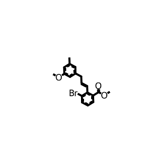 COC(=O)c1cccc(Br)c1C=CCc1cc(C)cc(OC)c1